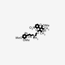 COC(=O)C1=C(C)NC(C)=C(C(=O)OCCN(C)CCCC(C#N)(c2ccc(OC)c(OC)c2)C(C)C)C1c1cccc([N+](=O)[O-])c1